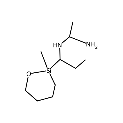 CCC(NC(C)N)[Si]1(C)CCCCO1